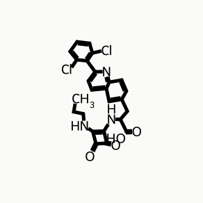 CCCNc1c(NC(Cc2ccc3nc(-c4c(Cl)cccc4Cl)ccc3c2)C(=O)O)c(=O)c1=O